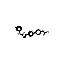 O=C(O)CC1CCC(c2ccc(-c3cnc(Nc4cccc(F)c4)o3)cc2)CC1